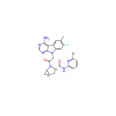 Cc1cc2c3c(N)ncnc3n(CC(=O)N3C4C[C@]4(C)C[C@H]3C(=O)Nc3cccc(Br)n3)c2cc1F